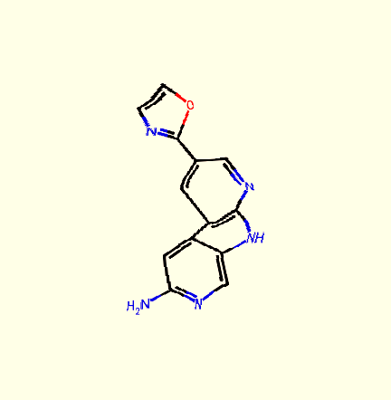 Nc1cc2c(cn1)[nH]c1ncc(-c3ncco3)cc12